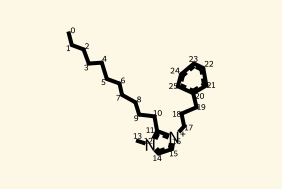 CCCCCCCCCCCc1n(C)cc[n+]1CCCc1ccccc1